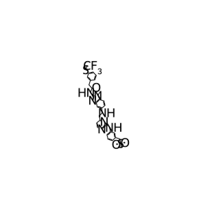 Cn1c(NC(=O)Cc2cccc(SC(F)(F)F)c2)nc2cc(NCc3ccnc(Nc4cccc(CS(C)(=O)=O)c4)n3)ccc21